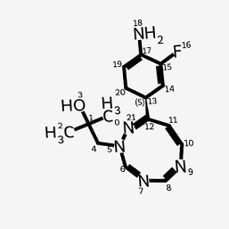 CC(C)(O)Cn1cncnccc([C@@H]2C=C(F)C(N)=CC2)n1